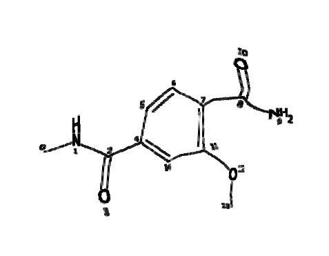 CNC(=O)c1ccc(C(N)=O)c(OC)c1